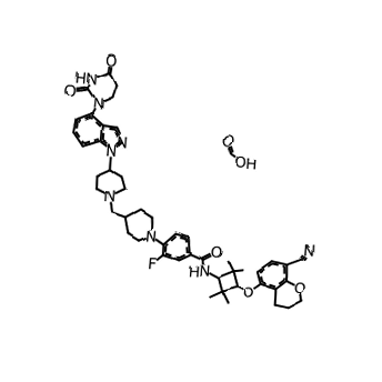 CC1(C)C(NC(=O)c2ccc(N3CCC(CN4CCC(n5ncc6c(N7CCC(=O)NC7=O)cccc65)CC4)CC3)c(F)c2)C(C)(C)C1Oc1ccc(C#N)c2c1CCCO2.O=CO